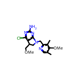 COCC1CN(Cc2ncc(C)c(OC)c2C)c2nc(N)nc(Cl)c21